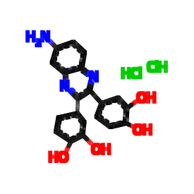 Cl.Cl.Nc1ccc2nc(-c3ccc(O)c(O)c3)c(-c3ccc(O)c(O)c3)nc2c1